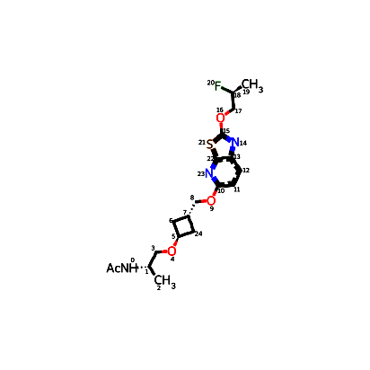 CC(=O)N[C@@H](C)CO[C@H]1C[C@H](COc2ccc3nc(OC[C@H](C)F)sc3n2)C1